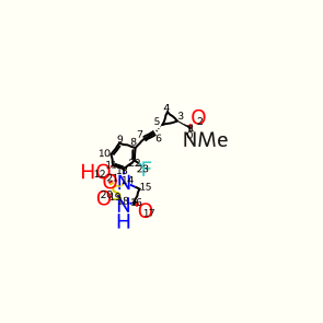 CNC(=O)[C@@H]1C[C@H]1C#Cc1ccc(O)c(N2CC(=O)NS2(=O)=O)c1F